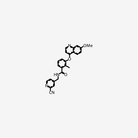 COc1ccc2c(Oc3cccc(C(=O)NCc4ccnc(C#N)c4)c3C)ccnc2c1